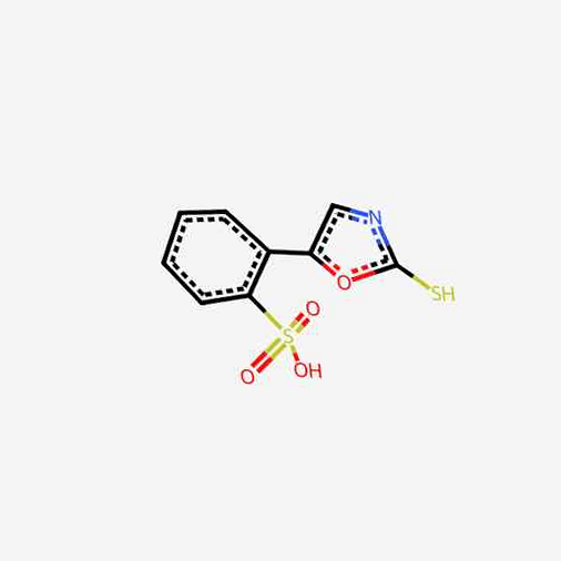 O=S(=O)(O)c1ccccc1-c1cnc(S)o1